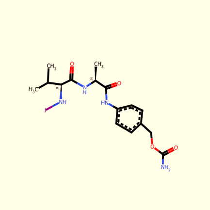 CC(C)[C@H](NI)C(=O)N[C@@H](C)C(=O)Nc1ccc(COC(N)=O)cc1